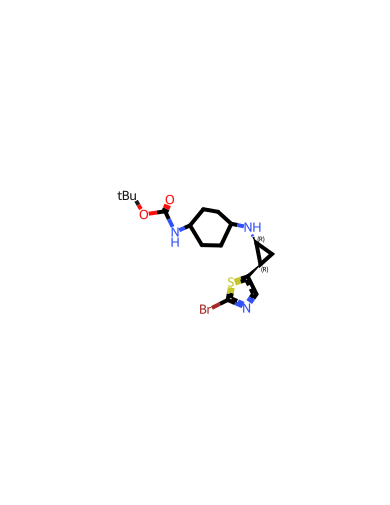 CC(C)(C)OC(=O)NC1CCC(N[C@@H]2C[C@H]2c2cnc(Br)s2)CC1